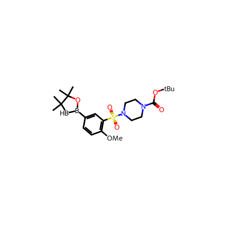 COc1ccc(B2BC(C)(C)C(C)(C)O2)cc1S(=O)(=O)N1CCN(C(=O)OC(C)(C)C)CC1